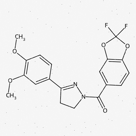 COc1ccc(C2=NN(C(=O)c3ccc4c(c3)OC(F)(F)O4)CC2)cc1OC